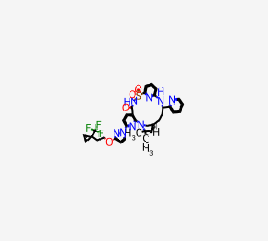 CC1(C)C[C@@H]2CCC(c3ccccn3)Nc3cccc(n3)S(=O)(=O)NC(=O)c3ccc(-n4ccc(OCCC5(C(F)(F)F)CC5)n4)nc3N1C2